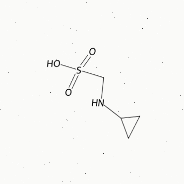 O=S(=O)(O)CNC1CC1